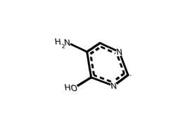 Nc1cn[c]nc1O